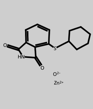 O=C1NC(=O)c2c(SC3CCCCC3)cccc21.[O-2].[Zn+2]